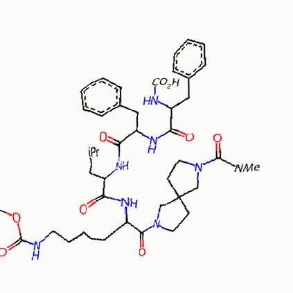 CNC(=O)N1CCC2(CCN(C(=O)C(CCCCNC(=O)OC(C)(C)C)NC(=O)C(CC(C)C)NC(=O)C(Cc3ccccc3)NC(=O)C(Cc3ccccc3)NC(=O)O)C2)C1